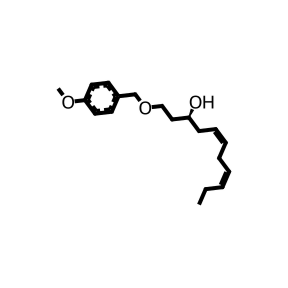 CC/C=C\C/C=C\C[C@H](O)CCOCc1ccc(OC)cc1